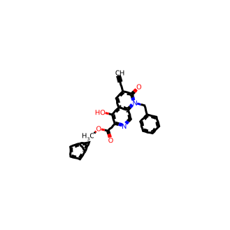 C#Cc1cc2c(O)c(C(=O)OC)ncc2n(Cc2ccccc2)c1=O.c1cc2cc-2c1